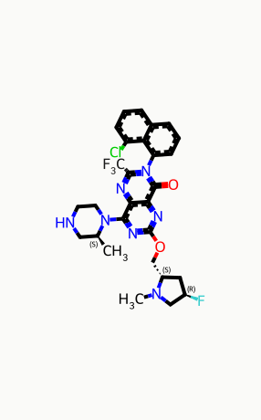 C[C@H]1CNCCN1c1nc(OC[C@@H]2C[C@@H](F)CN2C)nc2c(=O)n(-c3cccc4cccc(Cl)c34)c(C(F)(F)F)nc12